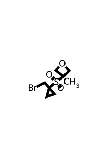 CC1(S(=O)(=O)C2(CBr)CC2)COC1